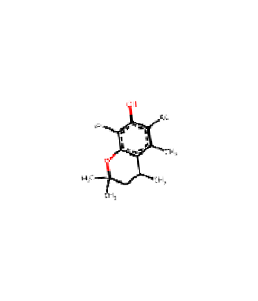 CCCc1c(O)c(C(C)=O)c(C)c2c1OC(C)(C)CC2C